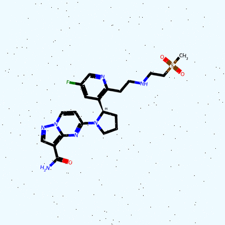 CS(=O)(=O)CCNCCc1ncc(F)cc1[C@H]1CCCN1c1ccn2ncc(C(N)=O)c2n1